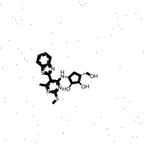 CSc1nc(C)c(-c2nc3ccccc3s2)c(N[C@@H]2C[C@H](CO)[C@@H](O)[C@H]2O)n1